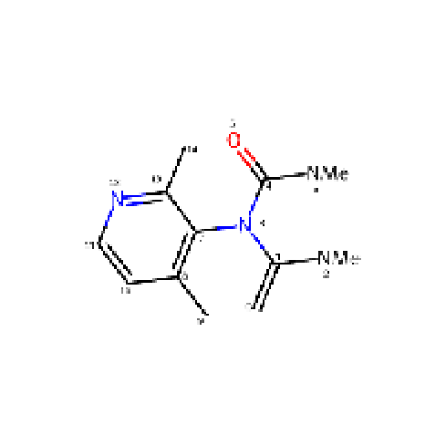 C=C(NC)N(C(=O)NC)c1c(C)ccnc1C